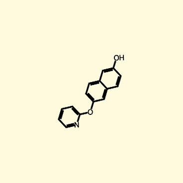 Oc1ccc2cc(Oc3ccccn3)ccc2c1